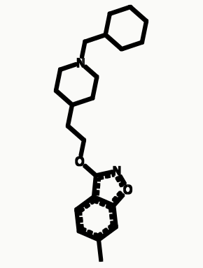 Cc1ccc2c(OCCC3CCN(CC4CCCCC4)CC3)noc2c1